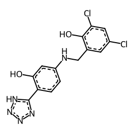 Oc1cc(NCc2cc(Cl)cc(Cl)c2O)ccc1-c1nnn[nH]1